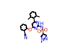 Cc1cccc(C)c1-c1cc(Oc2ccccc2C#N)nc(NS(=O)(=O)c2cnn(C)c2)n1